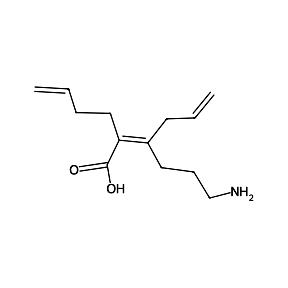 C=CCCC(C(=O)O)=C(CC=C)CCCN